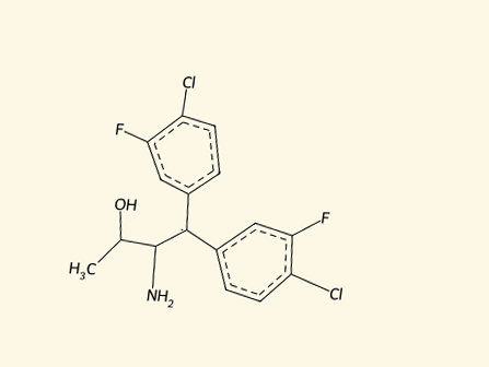 CC(O)C(N)[C](c1ccc(Cl)c(F)c1)c1ccc(Cl)c(F)c1